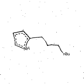 CCCCCCCc1[c]cc[nH]1